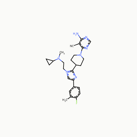 Cc1cc(-c2cn(CCN(C)C3CC3)c(C3CCN(c4ncnc(N)c4C#N)CC3)n2)ccc1F